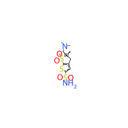 CN(C)C[C@]1(C)Cc2cc(S(N)(=O)=O)sc2S1(=O)=O